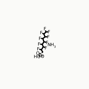 N.O=S(=O)(O)CC(F)C(F)C(F)C(F)C(F)C(F)C(F)C(F)F